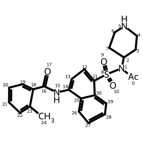 CC(=O)N(C1CCNCC1)S(=O)(=O)c1ccc(NC(=O)c2ccccc2C)c2ccccc12